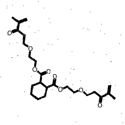 C=C(C)C(=O)CCOCCOC(=O)C1CCCCC1C(=O)OCCOCCC(=O)C(=C)C